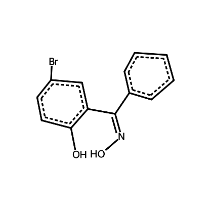 ON=C(c1ccccc1)c1cc(Br)ccc1O